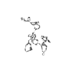 CC(C)(C)OC(=O)c1cc2cc(NC(=O)C(Cc3ccccc3)n3ccc(-c4cc(Cl)ccc4-n4cnnn4)cc3=O)ccc2[nH]1